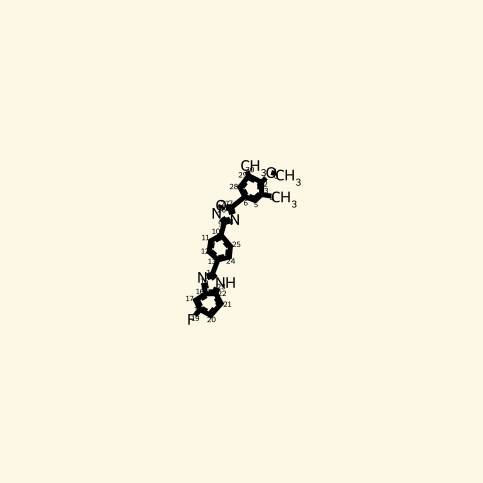 COc1c(C)cc(-c2nc(-c3ccc(-c4nc5cc(F)ccc5[nH]4)cc3)no2)cc1C